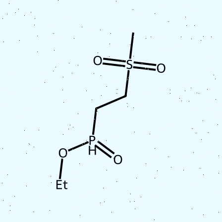 CCO[PH](=O)CCS(C)(=O)=O